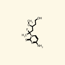 COC(CCO)CC(C)(F)n1ccc(N)nc1=S